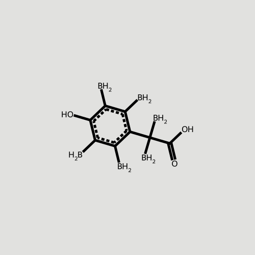 Bc1c(B)c(C(B)(B)C(=O)O)c(B)c(B)c1O